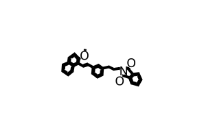 COc1ccc2ccccc2c1C=Cc1cccc(CCCN2C(=O)c3ccccc3C2=O)c1